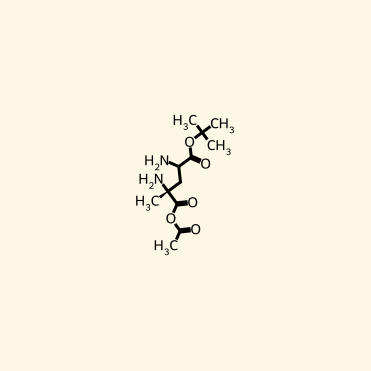 CC(=O)OC(=O)[C@](C)(N)CC(N)C(=O)OC(C)(C)C